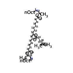 CCCCCCCC/C=C\C(C)OC(=O)CCCCCCCC(CCCCCCCC(=O)OC(C)/C=C\CCCCCCCC)OC(=O)CCCN(C)C